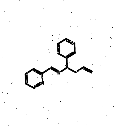 C=CCC(/N=C/c1ccccn1)c1ccccc1